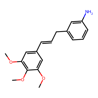 COc1cc(/C=C/Cc2cccc(N)c2)cc(OC)c1OC